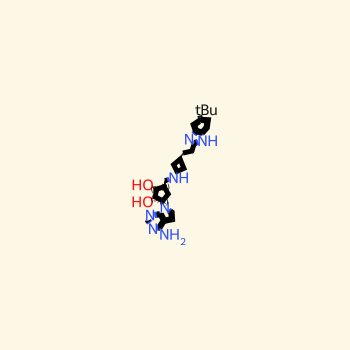 CC(C)(C)c1ccc2[nH]c(CC[C@H]3C[C@@H](NC[C@H]4C[C@@H](n5ccc6c(N)ncnc65)[C@H](O)[C@@H]4O)C3)nc2c1